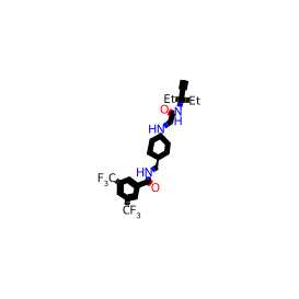 C#CC(CC)(CC)NC(=O)CN[C@H]1CC[C@@H](CNC(=O)c2cc(C(F)(F)F)cc(C(F)(F)F)c2)CC1